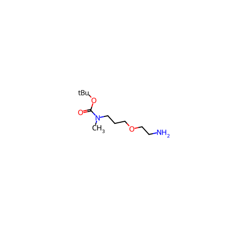 CN(CCCOCCN)C(=O)OC(C)(C)C